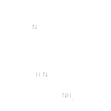 CC(CCCN(C)C)=C(N)N